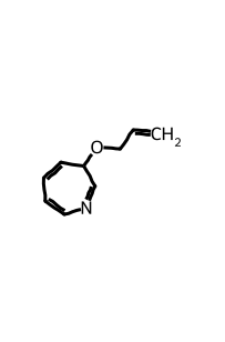 C=CCOC1C=CC=CN=C1